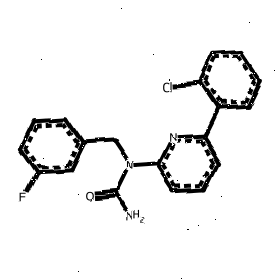 NC(=O)N(Cc1cccc(F)c1)c1cccc(-c2ccccc2Cl)n1